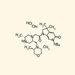 CCCCn1cc2c(cc1=O)C(C)(C)CN2C(=O)CN1C[C@@H](C)NC[C@@H]1CN1[C@H](C)COC[C@H]1C.Cl.Cl